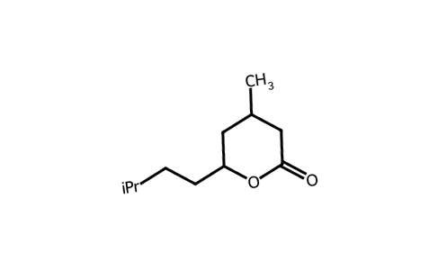 CC(C)CCC1CC(C)CC(=O)O1